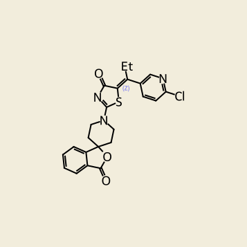 CC/C(=C1/SC(N2CCC3(CC2)OC(=O)c2ccccc23)=NC1=O)c1ccc(Cl)nc1